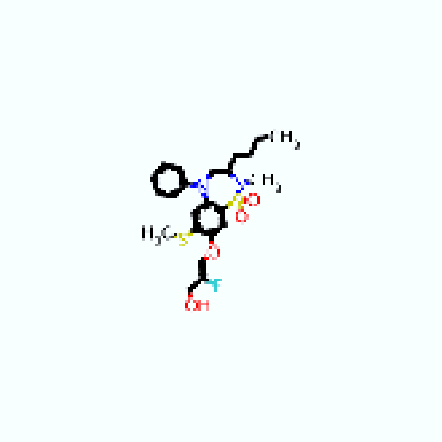 CCCCC1CN(c2ccccc2)c2cc(SC)c(O/C=C(\F)CO)cc2S(=O)(=O)N1C